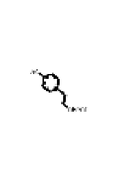 CCCCC/C=C/c1ccc(C(C)=O)cc1